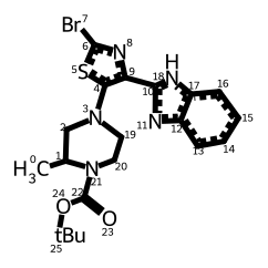 CC1CN(c2sc(Br)nc2-c2nc3ccccc3[nH]2)CCN1C(=O)OC(C)(C)C